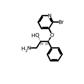 NC[C@H](O)[C@@H](Oc1cccnc1Br)c1ccccc1